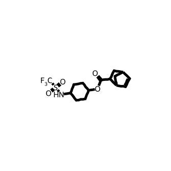 O=C(OC1CCC(NS(=O)(=O)C(F)(F)F)CC1)C1CC2C=CC1C2